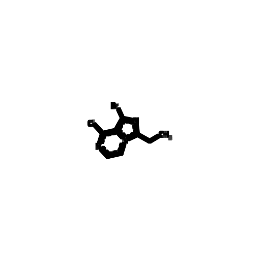 CCc1nc(Br)c2c(Cl)nccn12